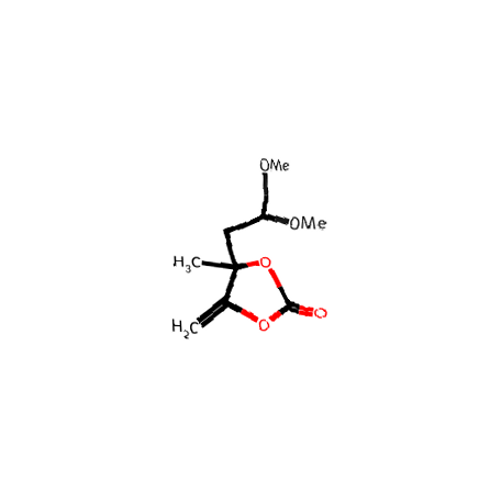 C=C1OC(=O)OC1(C)CC(OC)OC